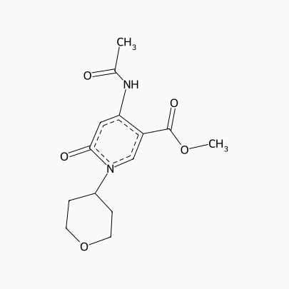 COC(=O)c1cn(C2CCOCC2)c(=O)cc1NC(C)=O